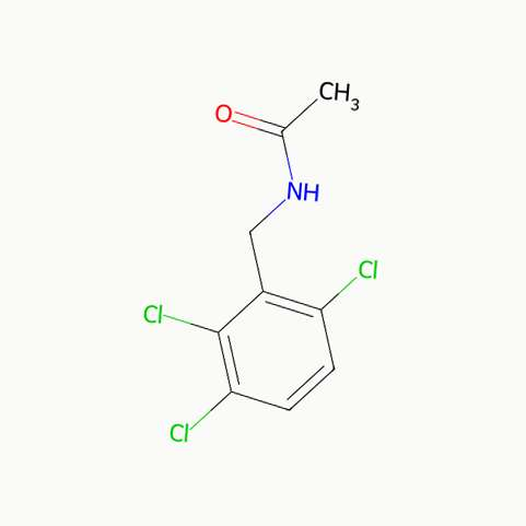 CC(=O)NCc1c(Cl)ccc(Cl)c1Cl